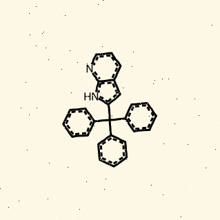 c1ccc(C(c2ccccc2)(c2ccccc2)c2cc3cccnc3[nH]2)cc1